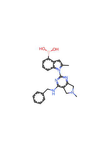 Cc1cc2c(B(O)O)cccc2n1-c1nc2c(c(NCc3ccccc3)n1)CN(C)C2